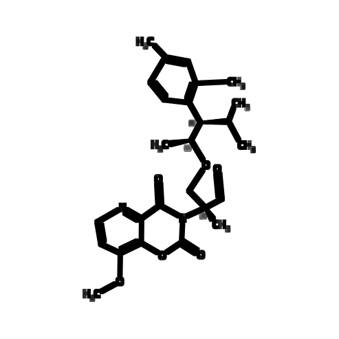 COc1ccnc2c(=O)n([C@@](C)(C=O)CO[C@@H](C)[C@@H](c3ccc(C)cc3C)C(C)C)c(=O)oc12